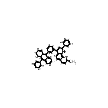 Cc1ccc2ccc3c(-c4cccc(-c5c6c(c(-c7ccccc7)c7ccccc57)CCC=C6)c4)cc(-c4ccccc4)nc3c2n1